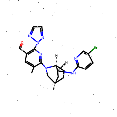 Cc1cc(C=O)c(-n2nccn2)nc1N1C[C@@H]2CC[C@H]1[C@H](Nc1ccc(Br)cn1)C2